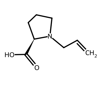 C=CCN1CCC[C@@H]1C(=O)O